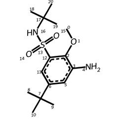 COc1c(N)cc(C(C)(C)C)cc1S(=O)(=O)NC(C)(C)C